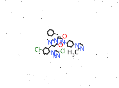 Cc1nccn1-c1ccc(NC(=O)[C@H](Cc2ccccc2)n2cnc(-c3cc(Cl)ccc3-n3cc(Cl)nn3)cc2=O)cc1